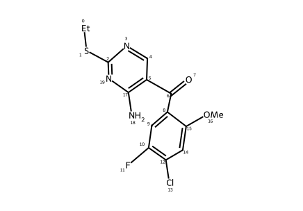 CCSc1ncc(C(=O)c2cc(F)c(Cl)cc2OC)c(N)n1